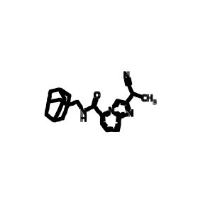 CC(C#N)c1cn2c(C(=O)NCC34CC5CC(CC(C5)C3)C4)cccc2n1